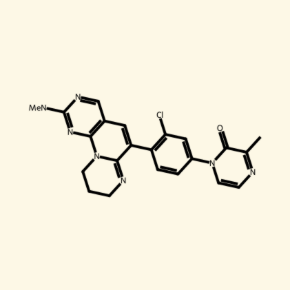 CNc1ncc2c(n1)N1CCCN=C1C(c1ccc(-n3ccnc(C)c3=O)cc1Cl)=C2